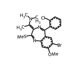 COc1cc2c(cc1Br)C(c1ccccc1Cl)=N/C(=C(/C)N(C)C)C(SC)=N2